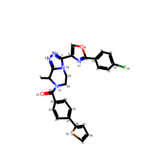 CC1c2nnc(-c3coc(-c4ccc(F)cc4)n3)n2CCN1C(=O)c1ccc(-c2cccs2)cc1